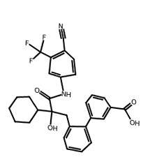 N#Cc1ccc(NC(=O)C(O)(Cc2ccccc2-c2cccc(C(=O)O)c2)C2CCCCC2)cc1C(F)(F)F